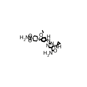 CCOc1cc(Nc2ncc(C(N)=O)c(NC3CC3)n2)ccc1N1CCN(S(N)(=O)=O)CC1